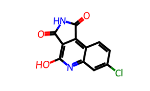 O=C1NC(=O)c2c1c(O)nc1cc(Cl)ccc21